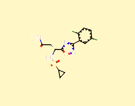 NC(=O)C[C@H](NS(=O)(=O)C1CC1)c1nc(-c2cc(F)ccc2F)no1